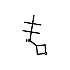 CC(C)(C)C(C)(C)NC1COC1